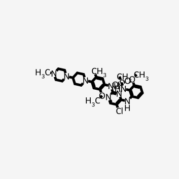 COc1cc(N2CCC(N3CCN(C)CC3)CC2)c(C)cc1Nc1ncc(Cl)c(Nc2cccc(OC)c2NS(C)(=O)=O)n1